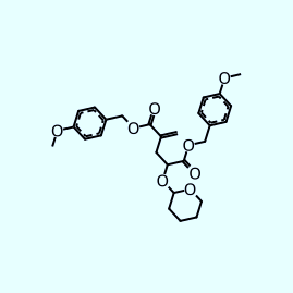 C=C(CC(OC1CCCCO1)C(=O)OCc1ccc(OC)cc1)C(=O)OCc1ccc(OC)cc1